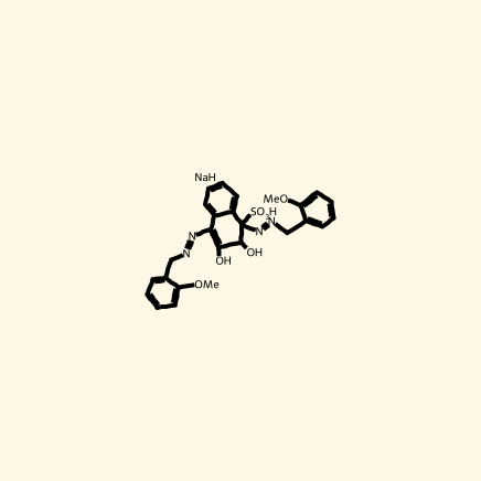 COc1ccccc1C/N=N/C1=C(O)C(O)C(/N=N/Cc2ccccc2OC)(S(=O)(=O)O)c2ccccc21.[NaH]